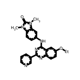 CCOc1ccc2nc(-c3cccnc3)nc(Nc3ccc4c(c3)n(C)c(=O)n4C)c2c1